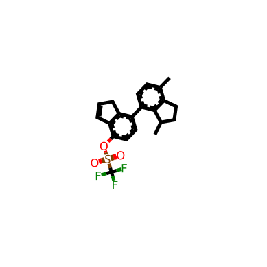 Cc1ccc(-c2ccc(OS(=O)(=O)C(F)(F)F)c3c2CC=C3)c2c1CCC2C